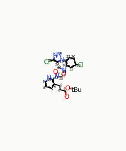 CC(C)(C)OC(=O)CCc1cccnc1N1CON(c2cc(Cl)ccc2-n2cc(Cl)nn2)CO1